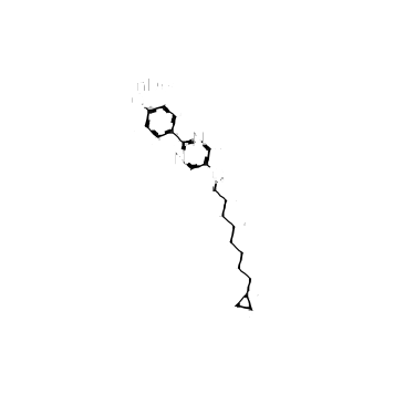 CCCCCCCCCCOc1ccc(-c2ncc(OCCCCCCCCC3CC3)cn2)cc1